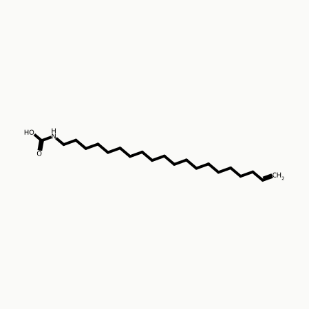 C=CCCCCCCCCCCCCCCCCCCNC(=O)O